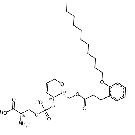 CCCCCCCCCCCOc1ccccc1CCC(=O)OC[C@H]1OCC=C[C@H]1OP(=O)(O)OC[C@H](N)C(=O)O